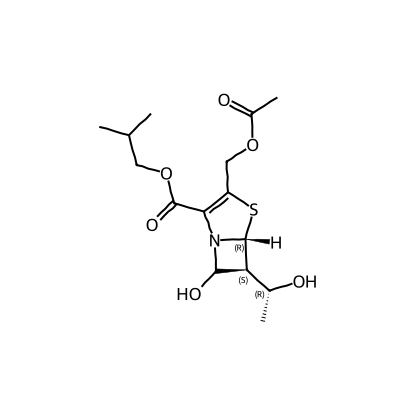 CC(=O)OCC1=C(C(=O)OCC(C)C)N2C(O)[C@H]([C@@H](C)O)[C@H]2S1